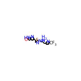 NC(CNc1ncc(-c2cnc3c(c2)CC(=O)N3)s1)Cc1ccc(C(F)(F)F)nc1